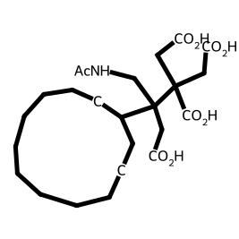 CC(=O)NCC(CC(=O)O)(C1CCCCCCCCCCC1)C(CC(=O)O)(CC(=O)O)C(=O)O